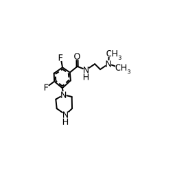 CN(C)CCNC(=O)c1cc(N2CCNCC2)c(F)cc1F